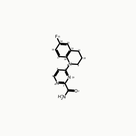 NC(=O)c1nccc(N2CCCc3cc(F)ccc32)n1